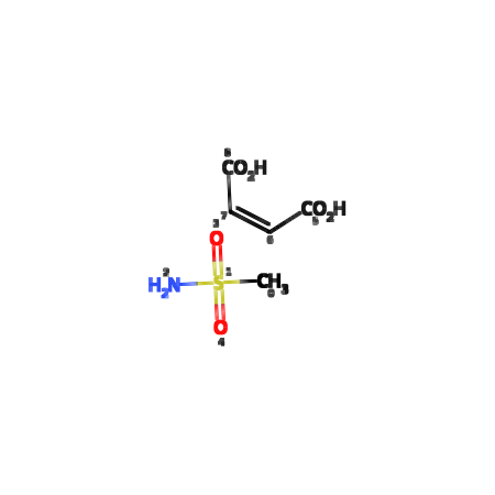 CS(N)(=O)=O.O=C(O)/C=C\C(=O)O